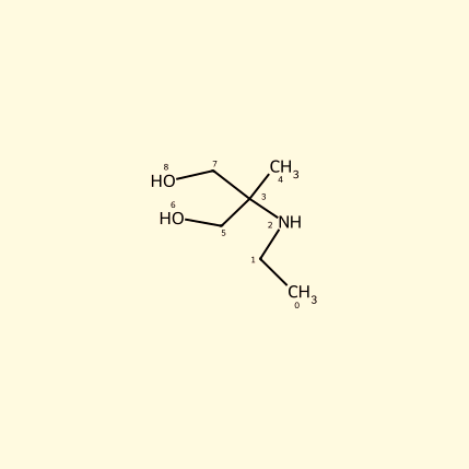 CCNC(C)(CO)CO